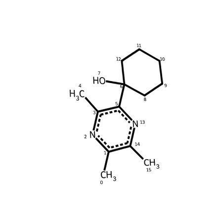 Cc1nc(C)c(C2(O)CCCCC2)nc1C